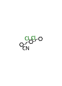 N#Cc1ccccc1/C=C/c1ccc(/C=C/c2ccccc2)c(Cl)c1Cl